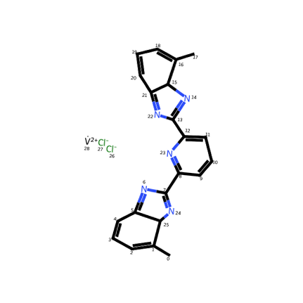 CC1=CC=CC2=NC(c3cccc(C4=NC5C(C)=CC=CC5=N4)n3)=NC12.[Cl-].[Cl-].[V+2]